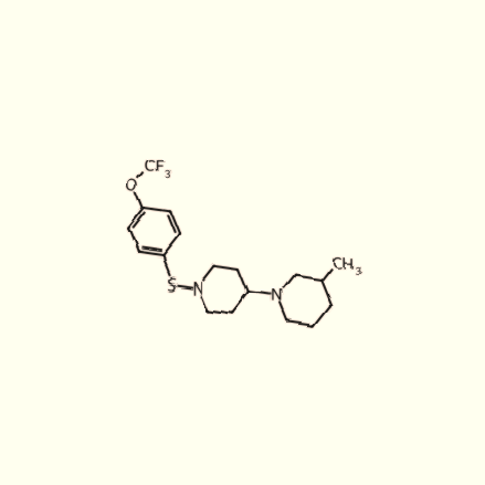 CC1CCCN(C2CCN(Sc3ccc(OC(F)(F)F)cc3)CC2)C1